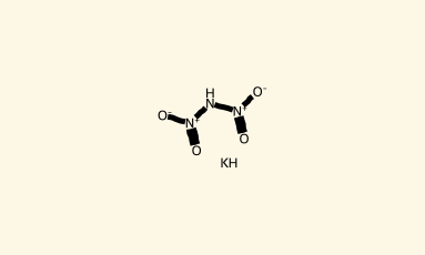 O=[N+]([O-])N[N+](=O)[O-].[KH]